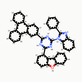 c1ccc(-c2nc3ccccc3n2-c2nc(-c3ccc4c5ccccc5c5ccccc5c4c3)nc(-c3cccc4oc5ccccc5c34)n2)cc1